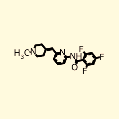 CN1CCC(=Cc2cccc(NC(=O)c3c(F)cc(F)cc3F)n2)CC1